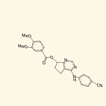 COc1ccc(C(=O)OC2CCc3c(Nc4ccc(C#N)cc4)ncnc32)cc1OC